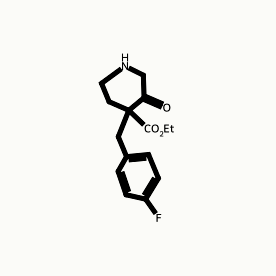 CCOC(=O)C1(Cc2ccc(F)cc2)CCNCC1=O